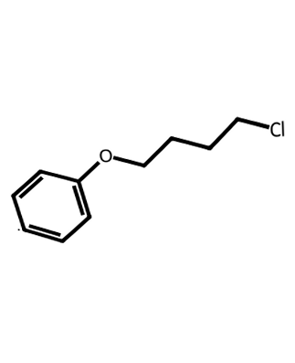 ClCCCCOc1cc[c]cc1